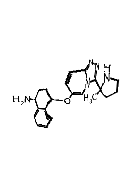 C[C@]1(c2nnc3ccc(O[C@@H]4CC[C@H](N)c5ccccc54)cn23)CCCN1